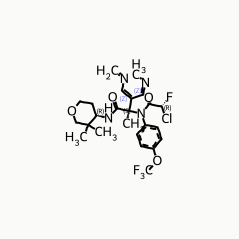 C=N/C=C(\C=N/C)[C@@](C)(C(=O)N[C@@H]1CCOCC1(C)C)N(C(=O)[C@H](F)Cl)c1ccc(OC(F)(F)F)cc1